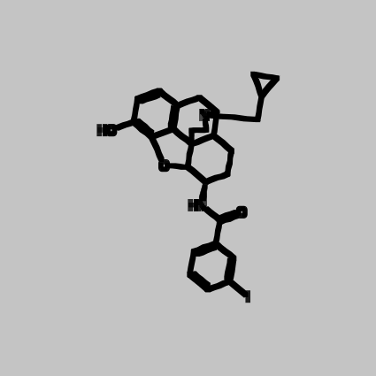 O=C(N[C@@H]1CCC2C3Cc4ccc(O)c5c4C2(CCN3CC2CC2)C1O5)c1cccc(I)c1